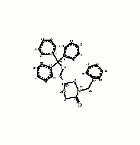 O=C1CO[C@H](COC(c2ccccc2)(c2ccccc2)c2ccccc2)CN1Cc1ccccc1